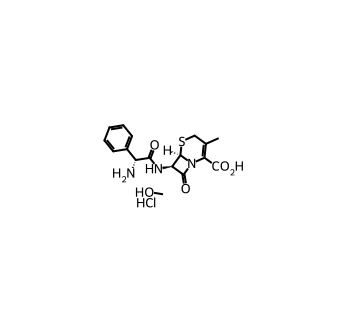 CC1=C(C(=O)O)N2C(=O)[C@@H](NC(=O)[C@H](N)c3ccccc3)[C@H]2SC1.CO.Cl